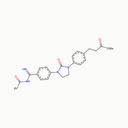 COC(=O)CCc1ccc(N2CCN(c3ccc(C(=N)NC(=O)C(C)C)cc3)C2=O)cc1